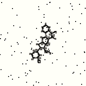 C[C@H](c1ccccc1)N(C)c1ccc2c(c1)C(N)C(c1cccc(Cl)c1)C2